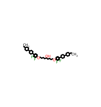 C=CC1CCC(C2CCC(c3ccc(OCCCCC(O)CCCCOc4ccc(C5CCC(C6CCC(C=C)CC6)CC5)c(F)c4F)c(F)c3F)CC2)CC1